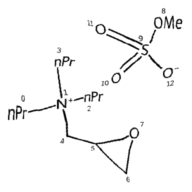 CCC[N+](CCC)(CCC)CC1CO1.COS(=O)(=O)[O-]